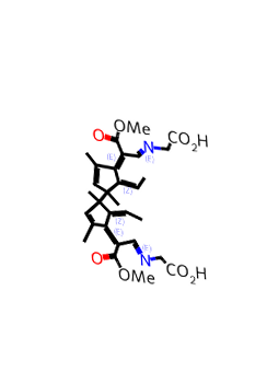 C\C=C1/C(=C(\C=N\CC(=O)O)C(=O)OC)C(C)=CC1(C)C1(C)C=C(C)C(=C(/C=N/CC(=O)O)C(=O)OC)/C1=C\C